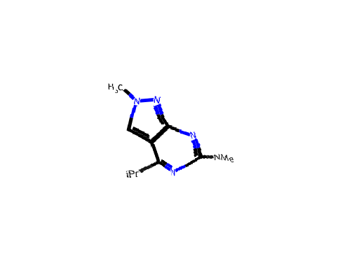 CNc1nc(C(C)C)c2cn(C)nc2n1